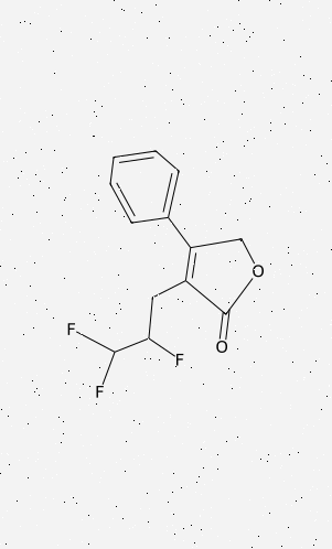 O=C1OCC(c2ccccc2)=C1CC(F)C(F)F